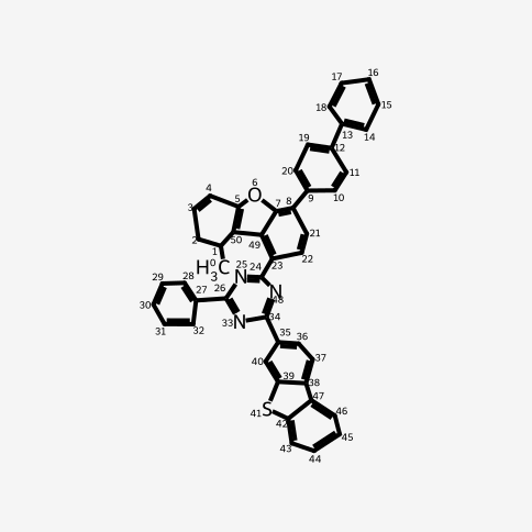 CC1CC=Cc2oc3c(-c4ccc(-c5ccccc5)cc4)ccc(-c4nc(-c5ccccc5)nc(-c5ccc6c(c5)sc5ccccc56)n4)c3c21